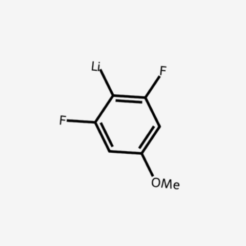 [Li][c]1c(F)cc(OC)cc1F